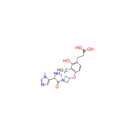 Cn1cncc1C(N)C(=O)N1CC(Oc2ccc(CCB(O)O)c(O)c2C(=O)O)C1